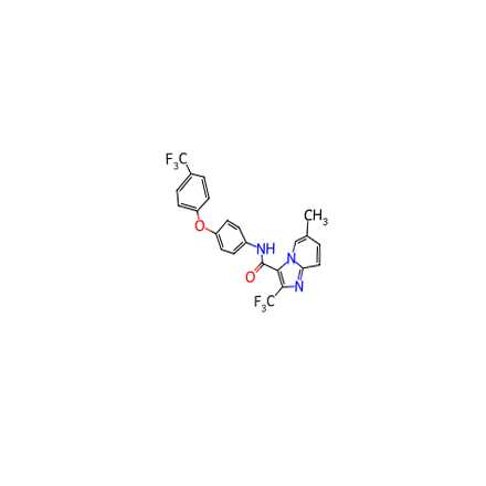 Cc1ccc2nc(C(F)(F)F)c(C(=O)Nc3ccc(Oc4ccc(C(F)(F)F)cc4)cc3)n2c1